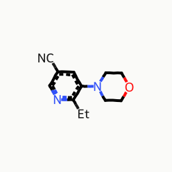 CCc1ncc(C#N)cc1N1CCOCC1